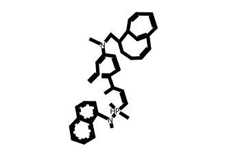 C=C/C=C(\C=C/C(=C)C(C)/C=C\[PH](C)(C)N(C)c1cccc2ccccc12)N(C)CC1CC/C=C\C2=CC1C=CC=C2